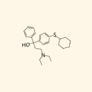 CCN(CC)CCC(O)(c1ccccc1)c1ccc(SC2CCCCC2)cc1